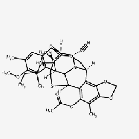 CCCN[C@H]1CS[C@@H]2c3c(OC(C)=O)c(C)c4c(c3[C@H](COC1=O)N1C2[C@H]2c3c(cc(C)c(OC)c3O)C[C@@H]([C@@H]1C#N)N2C)OCO4